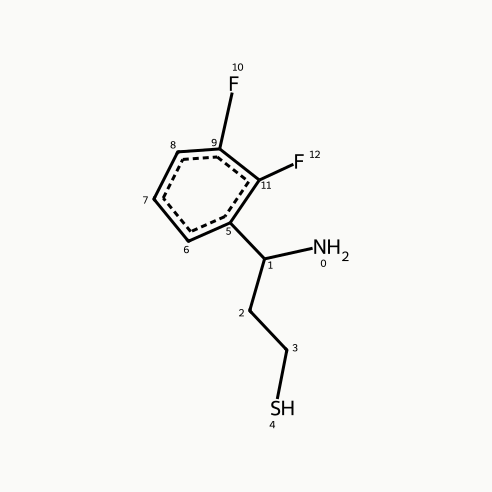 NC(CCS)c1cccc(F)c1F